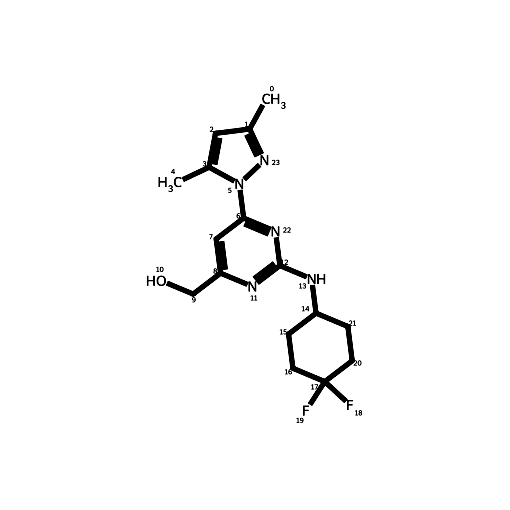 Cc1cc(C)n(-c2cc(CO)nc(NC3CCC(F)(F)CC3)n2)n1